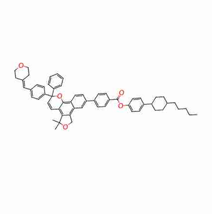 CCCCCC1CCC(c2ccc(OC(=O)c3ccc(-c4ccc5c6c(c7c(c5c4)COC7(C)C)C=CC(c4ccccc4)(c4ccc(C=C5CCOCC5)cc4)O6)cc3)cc2)CC1